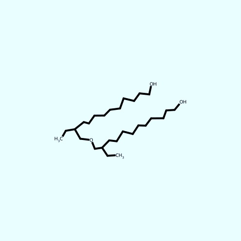 CCC(CCCCCCCCCCO)COCC(CC)CCCCCCCCCCO